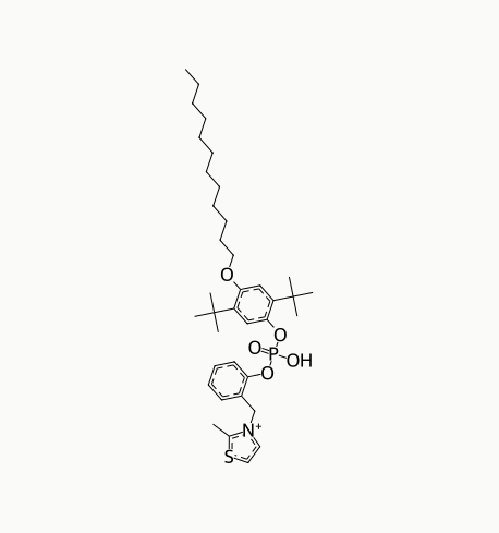 CCCCCCCCCCCCOc1cc(C(C)(C)C)c(OP(=O)(O)Oc2ccccc2C[n+]2ccsc2C)cc1C(C)(C)C